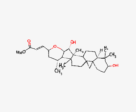 COC(=O)/C=C/C1C[C@@H](C)C2C(O1)[C@H](O)[C@@]1(C)C3CC[C@H]4C(C)(C)C(O)CCC45CC35CCC21C